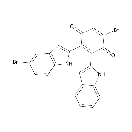 O=C1C=C(Br)C(=O)C(c2cc3ccccc3[nH]2)=C1c1cc2cc(Br)ccc2[nH]1